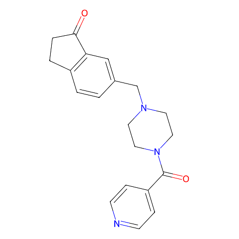 O=C1CCc2ccc(CN3CCN(C(=O)c4ccncc4)CC3)cc21